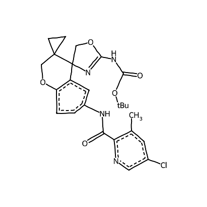 Cc1cc(Cl)cnc1C(=O)Nc1ccc2c(c1)C1(COC(NC(=O)OC(C)(C)C)=N1)C1(CC1)CO2